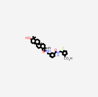 CCCC1(C(=O)NCc2cccc(C(=O)NCc3cc(C(=O)O)ccc3F)c2)CC[C@]2(C)C(CCC3C4(C)CCC(O)C(C)(C)C4CCC32C)C1C